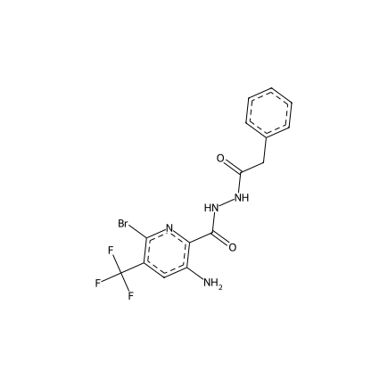 Nc1cc(C(F)(F)F)c(Br)nc1C(=O)NNC(=O)Cc1ccccc1